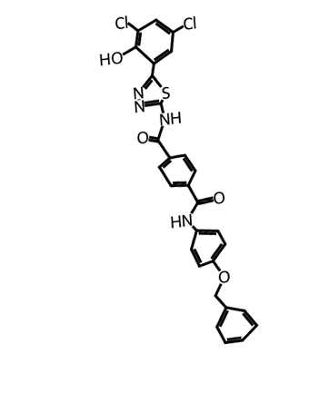 O=C(Nc1ccc(OCc2ccccc2)cc1)c1ccc(C(=O)Nc2nnc(-c3cc(Cl)cc(Cl)c3O)s2)cc1